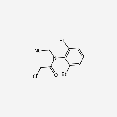 CCc1cccc(CC)c1N(CC#N)C(=O)CCl